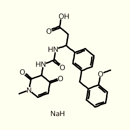 COc1ccccc1Cc1cccc(C(CC(=O)O)NC(=O)NC2C(=O)C=CN(C)C2=O)c1.[NaH]